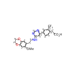 COc1cc2c(cc1CCNc1cc(-c3ccc(CC(=O)O)c(C(F)(F)F)c3)ncn1)OCCO2